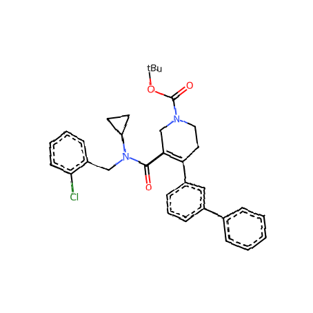 CC(C)(C)OC(=O)N1CCC(c2cccc(-c3ccccc3)c2)=C(C(=O)N(Cc2ccccc2Cl)C2CC2)C1